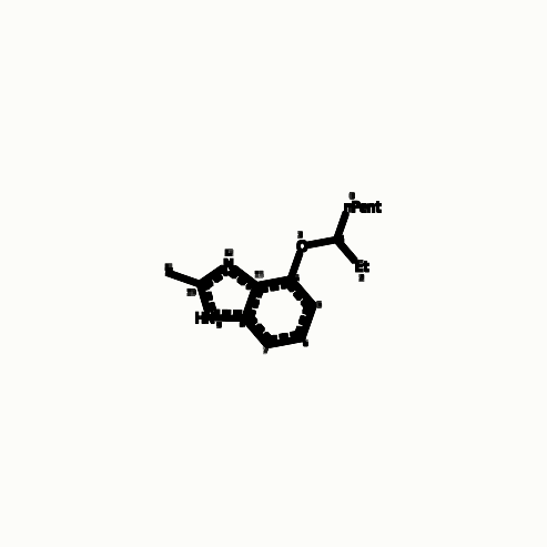 CCCCCC(CC)Oc1cccc2[nH]c(C)nc12